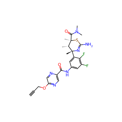 C#CCOc1cnc(C(=O)Nc2cc(F)c(F)c([C@@]3(C)N=C(N)S[C@](C)(C(=O)N(C)C)[C@H]3C)c2)cn1